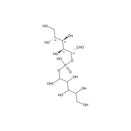 O=CC(OP(=O)(O)O[C@@H](C=O)[C@@H](O)[C@H](O)[C@H](O)CO)C(O)C(O)C(O)CO